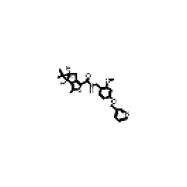 COc1cc(OCc2cccnc2)ccc1CNC(=O)c1sc(C)c2c1C[C@@H]1[C@H]2C1(C)C